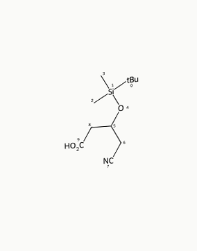 CC(C)(C)[Si](C)(C)OC(CC#N)CC(=O)O